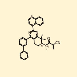 C=C(C#N)C(=O)[C@H](C)[C@H]1CCc2c(-c3cccc(-c4ccccc4)c3)nc(-c3ccnc4ccccc34)nc2C1(C)C